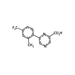 Cc1cc(C(F)(F)F)ccc1-c1cncc(C(=O)O)n1